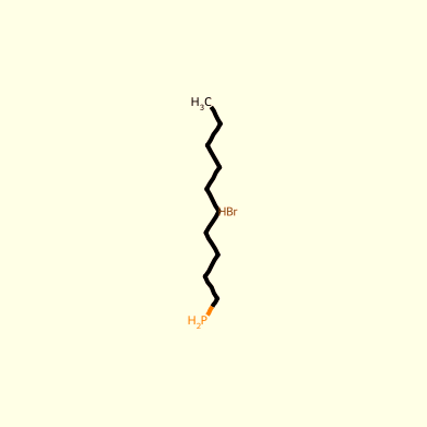 Br.CCCCCCCCCCP